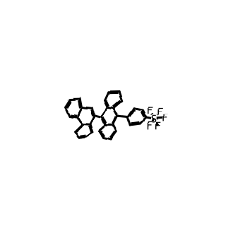 FS(F)(F)(F)(F)c1ccc(-c2c3ccccc3c(-c3cc4ccccc4c4ccccc34)c3ccccc23)cc1